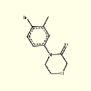 Cc1cc(N2CCOCC2=O)ccc1Br